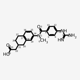 CN(C(=O)c1ccc(NC(=N)N)cc1)c1ccc2c(c1)CC(CC(=O)O)CC2